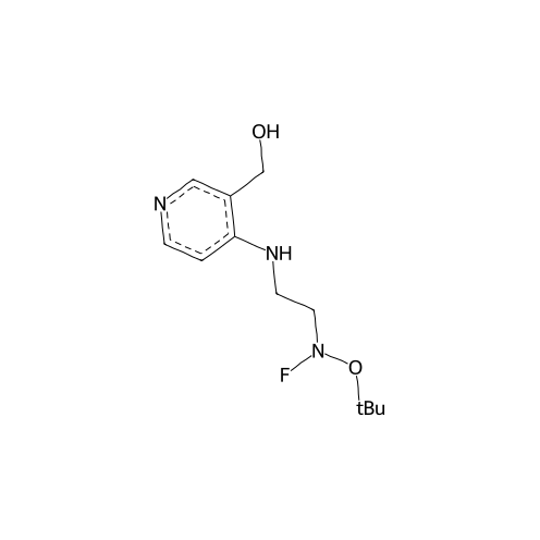 CC(C)(C)ON(F)CCNc1ccncc1CO